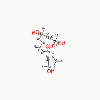 CC(C)CC(C)(O)C#CC(C)(O)CC(C)CCC(C)(O)C#CC(C)(C)O